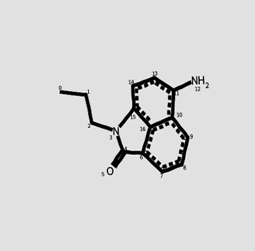 CCCN1C(=O)c2cccc3c(N)ccc1c23